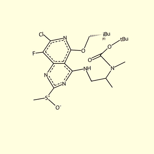 CC[C@@H](C)COc1nc(Cl)c(F)c2nc([S+](C)[O-])nc(NCC(C)N(C)C(=O)OC(C)(C)C)c12